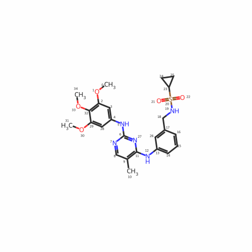 COc1cc(Nc2ncc(C)c(Nc3cccc(CNS(=O)(=O)C4CC4)c3)n2)cc(OC)c1OC